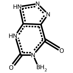 Bn1c(=O)[nH]c2[nH]nnc2c1=O